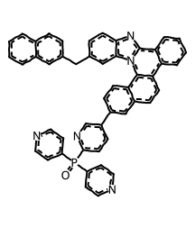 O=P(c1ccncc1)(c1ccncc1)c1ccc(-c2ccc3c(ccc4c5ccccc5c5nc6ccc(Cc7ccc8ccccc8c7)cc6n5c34)c2)cn1